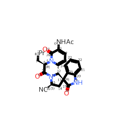 CC(=O)Nc1cccn([C@H](CC(C)C)C(=O)N2C[C@]3(C[C@H]2C#N)C(=O)Nc2ccccc23)c1=O